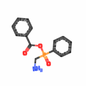 NCP(=O)(OC(=O)c1ccccc1)c1ccccc1